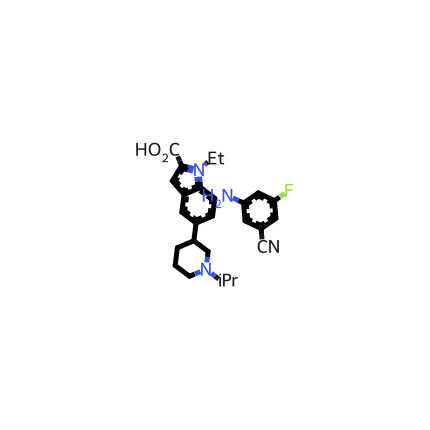 CCn1c(C(=O)O)cc2cc(C3CCCN(C(C)C)C3)ccc21.N#Cc1cc(N)cc(F)c1